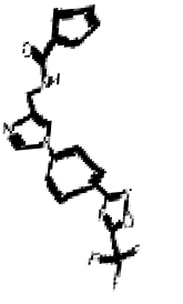 O=C(NCc1cn(-c2ccc(-c3noc(C(F)(F)F)n3)cc2)cn1)c1ccccc1